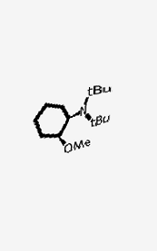 CO[C@H]1CCCC[C@H]1N(C(C)(C)C)C(C)(C)C